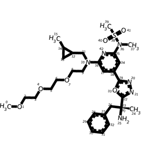 COCCOCCOCCN(CC1CC1C)c1cc(-c2nnc([C@](C)(N)Cc3ccccc3)o2)cc(N(C)S(C)(=O)=O)n1